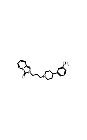 Cc1cccc(C2CCN(CCCn3nc4ccccn4c3=O)CC2)c1